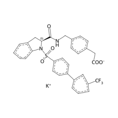 O=C([O-])Cc1ccc(CNC(=O)[C@@H]2Cc3ccccc3N2S(=O)(=O)c2ccc(-c3cccc(C(F)(F)F)c3)cc2)cc1.[K+]